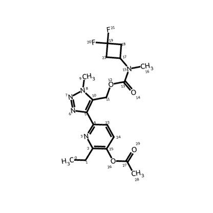 CCc1nc(-c2nnn(C)c2COC(=O)N(C)C2CC(F)(F)C2)ccc1OC(C)=O